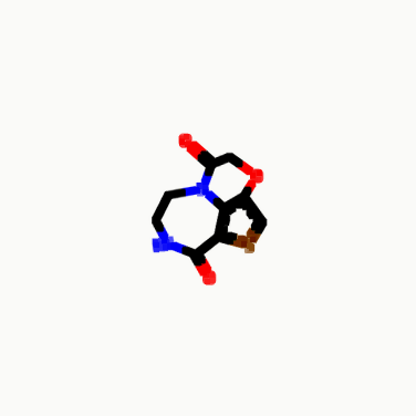 O=C1NCCN2C(=O)COc3csc1c32